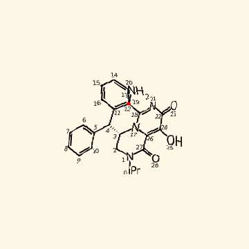 CC(C)N1C[C@H](C(c2ccccc2)c2ccccc2)n2c(CN)nc(=O)c(O)c2C1=O